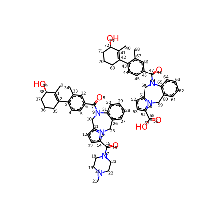 CC1=C(c2ccc(C(=O)N3Cc4ccc(C(=O)N5CCN(C)CC5)n4Cc4ccccc43)cc2C)CCC[C@H]1O.CC1=C(c2ccc(C(=O)N3Cc4ccc(C(=O)O)n4Cc4ccccc43)cc2C)CCC[C@H]1O